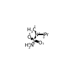 CC(C)N(C)S(N)(=O)=O